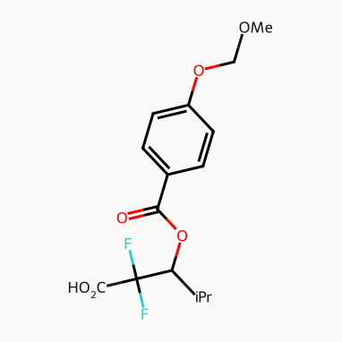 COCOc1ccc(C(=O)OC(C(C)C)C(F)(F)C(=O)O)cc1